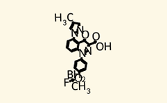 BC(C)(F)Oc1ccc(-n2nc(C(=O)O)c(=O)c3c(-n4cc(C)cn4)cccc32)cc1